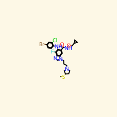 CSC1CCN(CCCn2cnc3c(F)c(Nc4ccc(Br)cc4Cl)c(C(=O)NOCC4CC4)cc32)C1